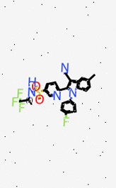 Cc1ccc2c(c1)c(C#N)c(-c1ccc(S(=O)(=O)N[C@@H](C)C(F)(F)F)cn1)n2-c1ccc(F)cc1